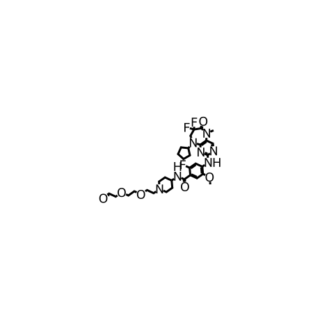 COc1cc(C(=O)NC2CCN(CCOCCOCC=O)CC2)c(F)cc1Nc1ncc2c(n1)N(C1CCCC1)CC(F)(F)C(=O)N2C